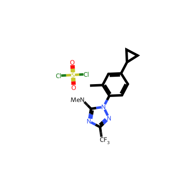 CNc1nc(C(F)(F)F)nn1-c1ccc(C2CC2)cc1C.O=S(=O)(Cl)Cl